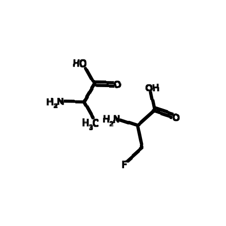 CC(N)C(=O)O.NC(CF)C(=O)O